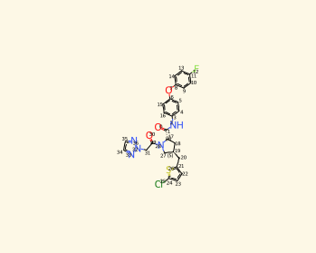 O=C(Nc1ccc(Oc2ccc(F)cc2)cc1)[C@@H]1C[C@@H](Cc2ccc(Cl)s2)CN1C(=O)Cn1nccn1